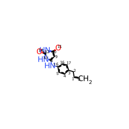 C=CCc1ccc(Nc2cc(=O)[nH]c(=O)[nH]2)cc1